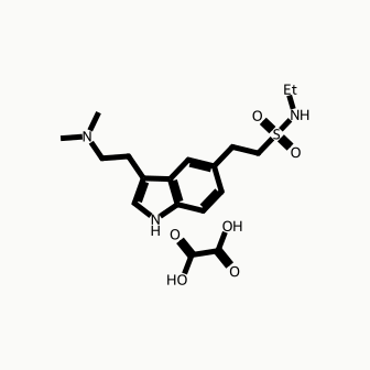 CCNS(=O)(=O)CCc1ccc2[nH]cc(CCN(C)C)c2c1.O=C(O)C(=O)O